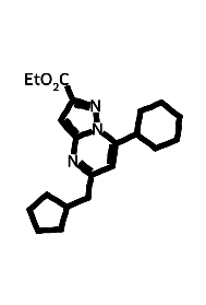 CCOC(=O)c1cc2nc(CC3CCCC3)cc(C3CCCCC3)n2n1